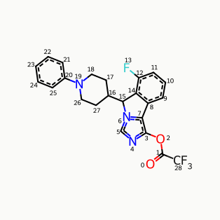 O=C(Oc1ncn2c1-c1cccc(F)c1C2C1CCN(c2ccccc2)CC1)C(F)(F)F